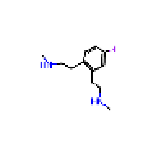 CNCCc1ccc(I)cc1CCNC